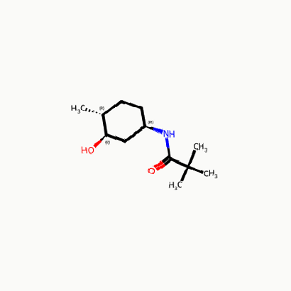 C[C@@H]1CC[C@@H](NC(=O)C(C)(C)C)C[C@H]1O